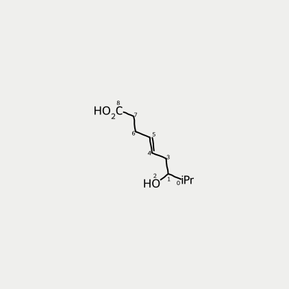 CC(C)C(O)C/C=C/CCC(=O)O